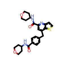 O=C(NC1CCOCC1)c1ccc(Cc2cc(C(=O)NC3CCOCC3)nc3ccsc23)cc1